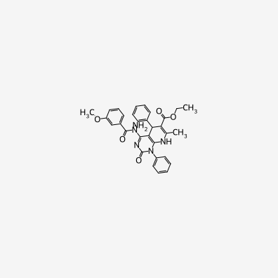 CCOC(=O)C1=C(C)Nc2c(c(N(N)C(=O)c3cccc(OC)c3)nc(=O)n2-c2ccccc2)C1c1ccccc1